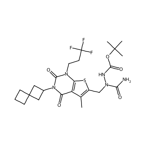 Cc1c(CN(NC(=O)OC(C)(C)C)C(N)=O)sc2c1c(=O)n(C1CC3(CCC3)C1)c(=O)n2CCC(F)(F)F